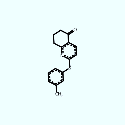 Cc1cccc(Sc2ccc3c(n2)CCCC3=O)c1